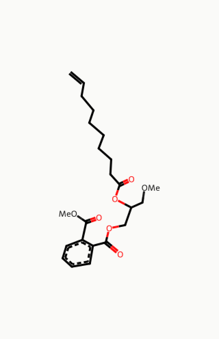 C=CCCCCCCCC(=O)OC(COC)COC(=O)c1ccccc1C(=O)OC